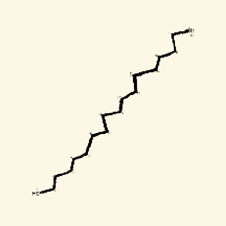 OCCCCCCCCCCCCCCCCBr